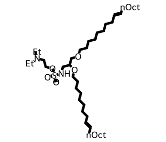 CCCCCCCCC=CCCCCCCCCOCC(CNS(=O)(=O)OCCN(CC)CC)OCCCCCCCCC=CCCCCCCCC